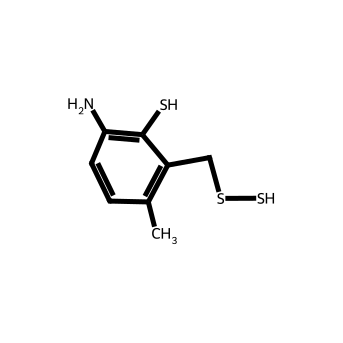 Cc1ccc(N)c(S)c1CSS